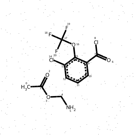 CC(=O)OCN.O=C(Cl)c1cccc(Cl)c1OC(F)(F)F